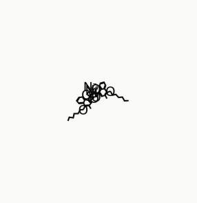 CCCCCCOc1c(C)cc(S(=O)(=O)C(=[N+]=[N-])S(=O)(=O)c2cc(C)c(OCCCCCC)c3ccccc23)c2ccccc12